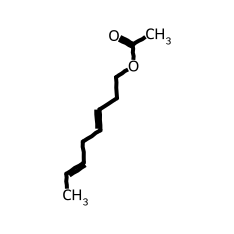 CC=CCC=CCCOC(C)=O